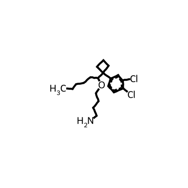 CCCCCC(OCCCCN)C1(c2ccc(Cl)c(Cl)c2)CCC1